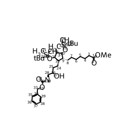 COC(=O)CCCCCC[C@H]1C(O[Si](C)(C)C(C)(C)C)CC(O[Si](C)(C)C(C)(C)C)[C@@H]1CCC(O)/C=N/C(=O)OCc1ccccc1